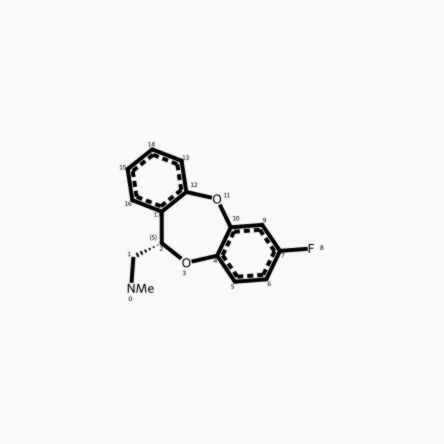 CNC[C@H]1Oc2ccc(F)cc2Oc2ccccc21